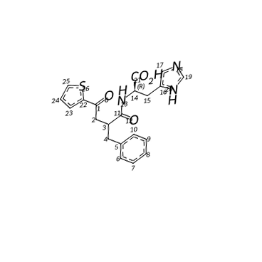 O=C(CC(Cc1ccccc1)C(=O)N[C@H](Cc1cnc[nH]1)C(=O)O)c1cccs1